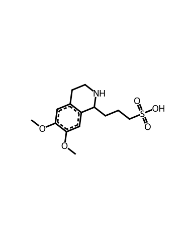 COc1cc2c(cc1OC)C(CCCS(=O)(=O)O)NCC2